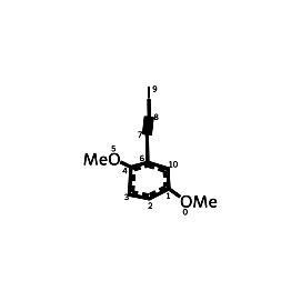 COc1ccc(OC)c(C#CI)c1